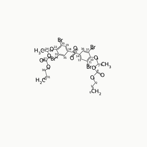 C=CCOC(=O)OC(C)Oc1c(Br)cc(S(=O)(=O)c2cc(Br)c(OC(C)OC(=O)OCC=C)c(Br)c2)cc1Br